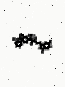 CN(C)C1(c2ccccc2)CCC(NC(=O)NCCc2c[nH]c3ccc(F)cc23)CC1.Cl